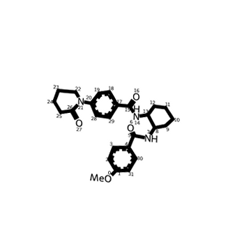 COc1ccc(C(=O)NC2CCCCC2NC(=O)c2ccc(N3CCCCC3=O)cc2)cc1